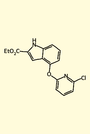 CCOC(=O)c1cc2c(Oc3cccc(Cl)n3)cccc2[nH]1